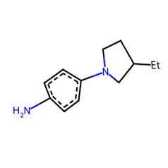 CCC1CCN(c2ccc(N)cc2)C1